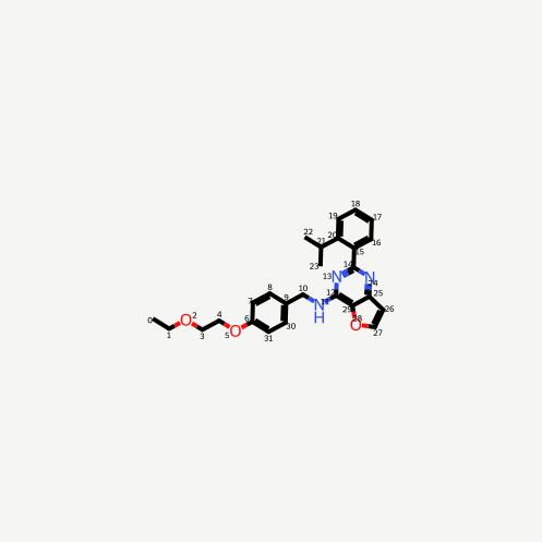 CCOCCOc1ccc(CNc2nc(-c3ccccc3C(C)C)nc3ccoc23)cc1